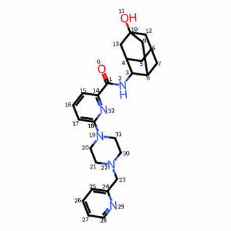 O=C(NC1C2CC3CC1CC(O)(C3)C2)c1cccc(N2CCN(Cc3ccccn3)CC2)n1